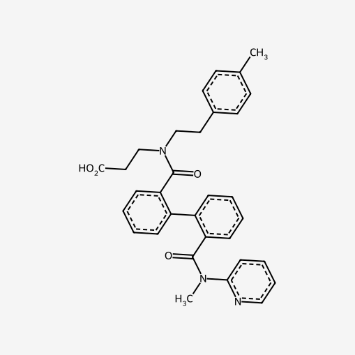 Cc1ccc(CCN(CCC(=O)O)C(=O)c2ccccc2-c2ccccc2C(=O)N(C)c2ccccn2)cc1